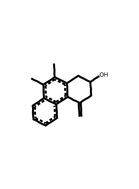 C=C1CC(O)Cc2c(C)c(C)c3ccccc3c21